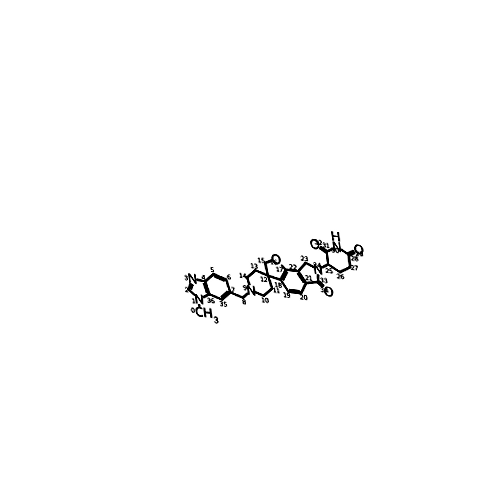 Cn1cnc2ccc(CN3CCC4(CC3)COc3c4ccc4c3CN(C3CCC(=O)NC3=O)C4=O)cc21